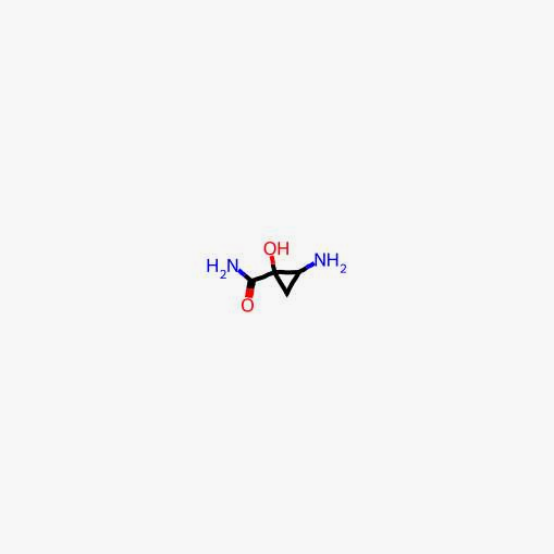 NC(=O)C1(O)CC1N